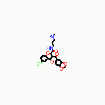 CN(C)CCCNC(=O)c1oc2ccc(Cl)cc2c(=O)c1C(=O)c1ccc2c(c1)OCO2